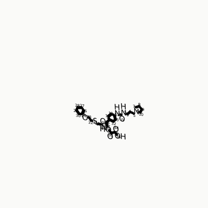 O=C(NCCCN1CCCC1)Nc1ccc(-c2cnc(CSCCOc3ccccc3)o2)cc1.O=C(O)C(=O)O